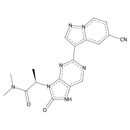 C[C@H](C(=O)N(C)C)n1c(=O)[nH]c2cnc(-c3cnn4ccc(C#N)cc34)nc21